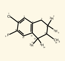 [2H]C1([2H])Cc2cc(Cl)c(F)cc2C([2H])([2H])C1C